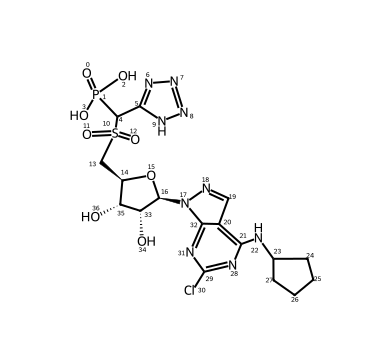 O=P(O)(O)C(c1nnn[nH]1)S(=O)(=O)C[C@H]1O[C@@H](n2ncc3c(NC4CCCC4)nc(Cl)nc32)[C@H](O)[C@@H]1O